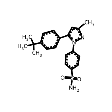 Cc1cc(-c2ccc(C(C)(C)C)cc2)n(-c2ccc(S(N)(=O)=O)cc2)n1